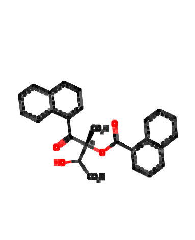 O=C(O[C@@](C(=O)O)(C(=O)c1cccc2ccccc12)C(O)C(=O)O)c1cccc2ccccc12